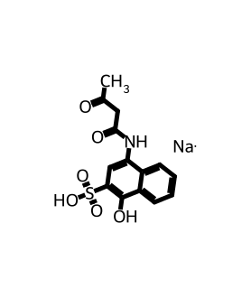 CC(=O)CC(=O)Nc1cc(S(=O)(=O)O)c(O)c2ccccc12.[Na]